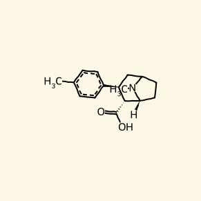 Cc1ccc([C@H]2CC3CC[C@H]([C@@H]2C(=O)O)N3C)cc1